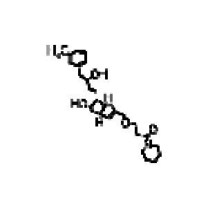 Cc1cccc(C[C@H](O)/C=C/[C@@H]2[C@H]3CC(COCCC(=O)N4CCCCC4)=C[C@H]3C[C@H]2O)c1